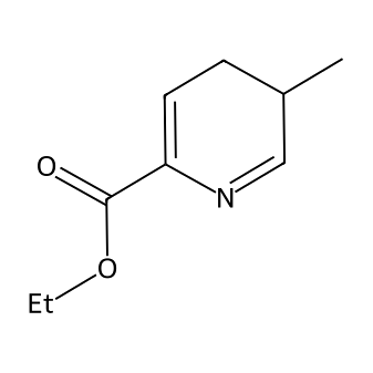 CCOC(=O)C1=CCC(C)C=N1